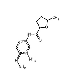 CC1CCC(C(=O)Nc2cc/c(=N/N)n(N)c2)O1